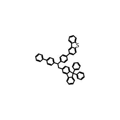 c1ccc(-c2ccc(C(Cc3ccc4c(c3)-c3ccccc3C4(c3ccccc3)c3ccccc3)c3ccc(-c4ccc5sc6ccccc6c5c4)cc3)cc2)cc1